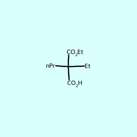 CCCC(CC)(C(=O)O)C(=O)OCC